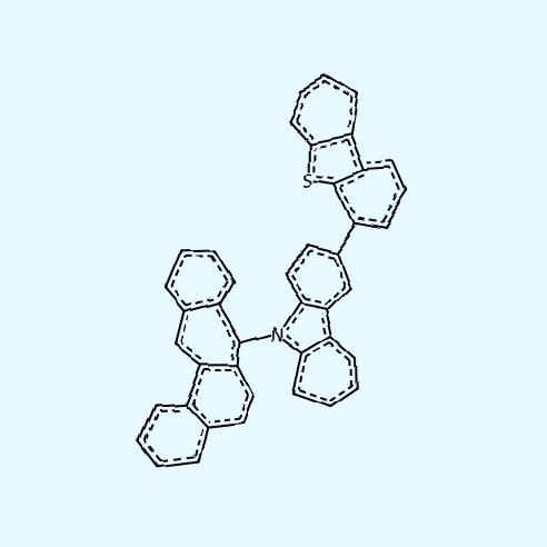 c1ccc2c(-n3c4ccccc4c4cc(-c5cccc6c5sc5ccccc56)ccc43)c3ccc4ccccc4c3cc2c1